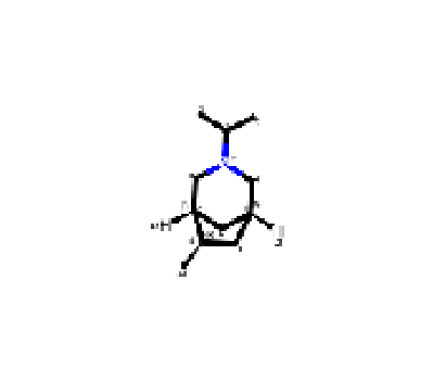 CC(C)N1C[C@H]2C[C@@H](C1)[C@H](C)C2